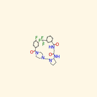 O=C(CNC(=O)c1cccc(C(F)(F)F)c1)NC1CCCN1CCN1CCN(C(=O)c2ccc(F)cc2)CC1